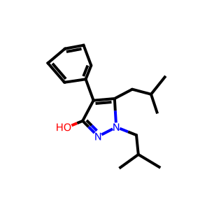 CC(C)Cc1c(-c2ccccc2)c(O)nn1CC(C)C